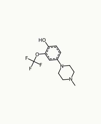 CN1CCN(c2ccc(O)c(OC(F)(F)F)c2)CC1